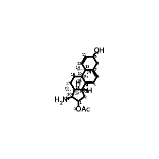 CC(=O)OC1C[C@H]2C3=CC=C4CC(O)C=C[C@]4(C)[C@@H]3CC[C@]2(C)C1N